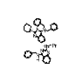 CCCNc1nc(NCc2ccccc2)c2ccccc2n1.c1ccc(CN(Cc2ccccc2)c2nc(N3CCCCC3)nc3ccccc23)cc1